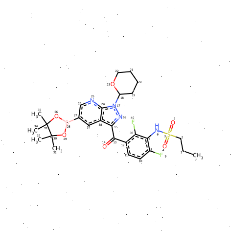 CCCS(=O)(=O)Nc1c(F)ccc(C(=O)c2nn(C3CCCCO3)c3ncc(B4OC(C)(C)C(C)(C)O4)cc23)c1F